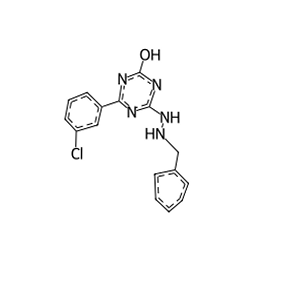 Oc1nc(NNCc2ccccc2)nc(-c2cccc(Cl)c2)n1